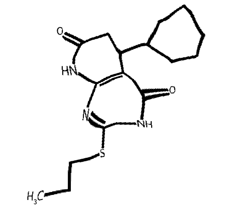 CCCSc1nc2c(c(=O)[nH]1)C(C1CCCCC1)CC(=O)N2